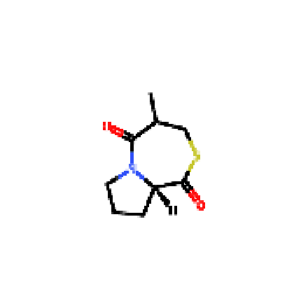 CC1CSC(=O)[C@@H]2CCCN2C1=O